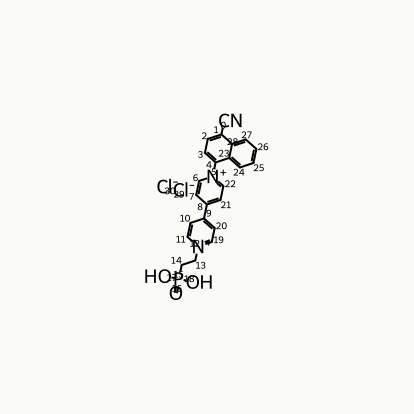 N#Cc1ccc(-[n+]2ccc(-c3cc[n+](CCP(=O)(O)O)cc3)cc2)c2ccccc12.[Cl-].[Cl-]